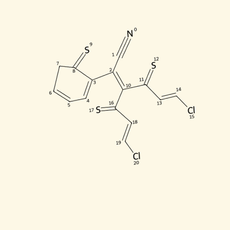 N#CC(C1=CC=CCC1=S)=C(C(=S)C=CCl)C(=S)C=CCl